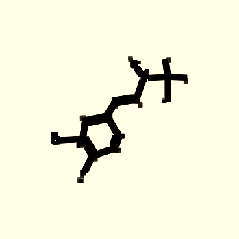 CC(C)(C)[S+]([O-])N=Cc1ccc(F)c(Cl)c1